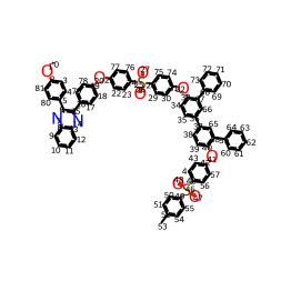 COc1ccc(-c2nc3ccccc3nc2-c2ccc(Oc3ccc(S(=O)(=O)c4ccc(Oc5ccc(-c6ccc(Oc7ccc(S(=O)(=O)c8ccc(C)cc8)cc7)c(-c7ccccc7)c6)cc5-c5ccccc5)cc4)cc3)cc2)cc1